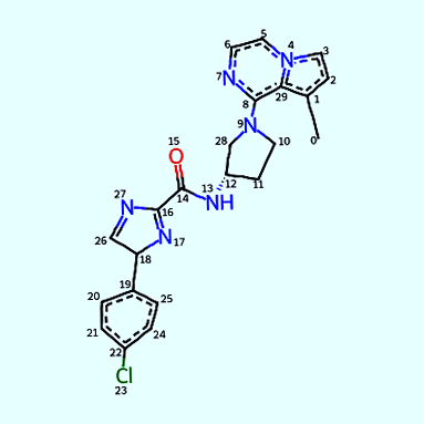 Cc1ccn2ccnc(N3CC[C@H](NC(=O)C4=NC(c5ccc(Cl)cc5)C=N4)C3)c12